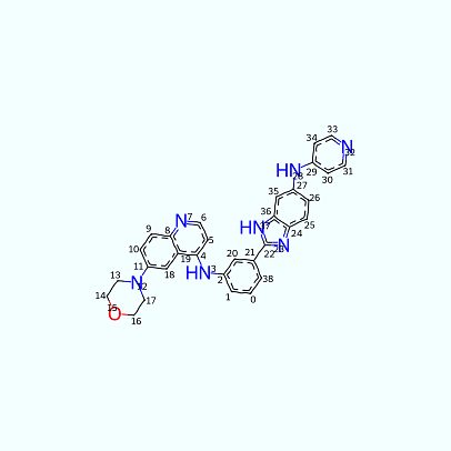 c1cc(Nc2ccnc3ccc(N4CCOCC4)cc23)cc(-c2nc3ccc(Nc4ccncc4)cc3[nH]2)c1